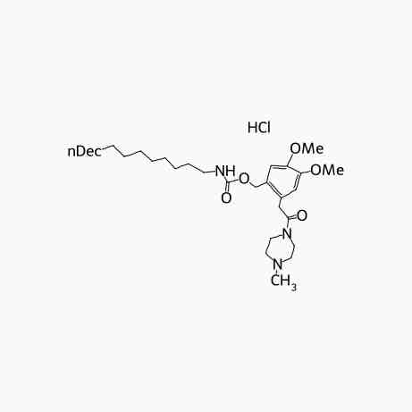 CCCCCCCCCCCCCCCCCCNC(=O)OCc1cc(OC)c(OC)cc1CC(=O)N1CCN(C)CC1.Cl